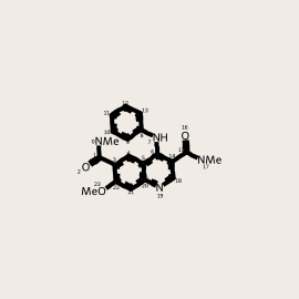 CNC(=O)c1cc2c(Nc3ccccc3)c(C(=O)NC)cnc2cc1OC